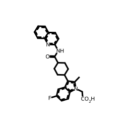 Cc1c(C2CCC(C(=O)Nc3ccc4ccccc4n3)CC2)c2cc(F)ccc2n1CC(=O)O